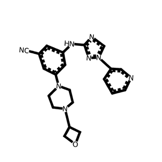 N#Cc1cc(Nc2ncn(-c3cccnc3)n2)cc(N2CCN(C3COC3)CC2)c1